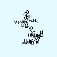 CN[C@@H](C)C(=O)N[C@@H](CCCNC(=O)CCCC(=O)N[C@H]1C[C@@H](C(=O)N[C@@H]2CCCc3ccccc32)N(C(=O)[C@@H](NC(=O)[C@H](C)NC)C(C)(C)C)C1)C(=O)C1C[C@@H](C)C[C@H]1C(=O)N[C@@H]1CCCc2ccccc21